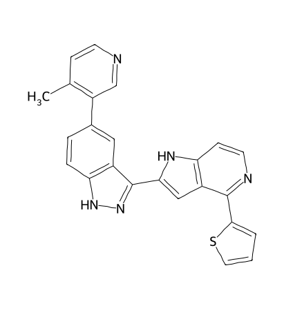 Cc1ccncc1-c1ccc2[nH]nc(-c3cc4c(-c5cccs5)nccc4[nH]3)c2c1